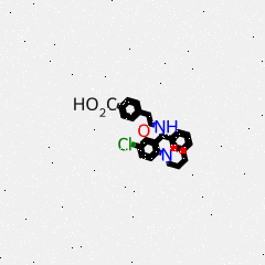 O=C(Cc1ccc(C(=O)O)cc1)NC(c1ccccc1)c1cc(Cl)ccc1N1CCCCC1